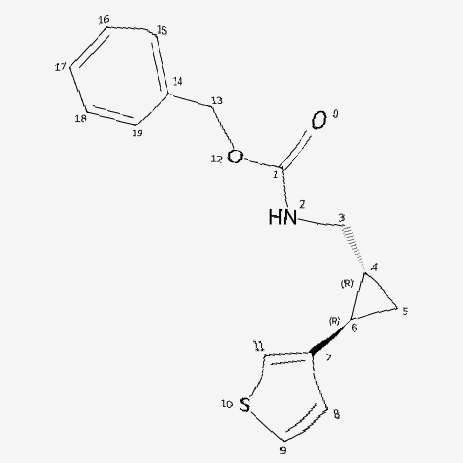 O=C(NC[C@@H]1C[C@H]1c1ccsc1)OCc1ccccc1